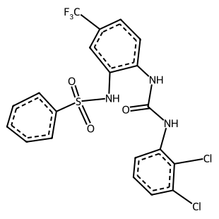 O=C(Nc1ccc(C(F)(F)F)cc1NS(=O)(=O)c1ccccc1)Nc1cccc(Cl)c1Cl